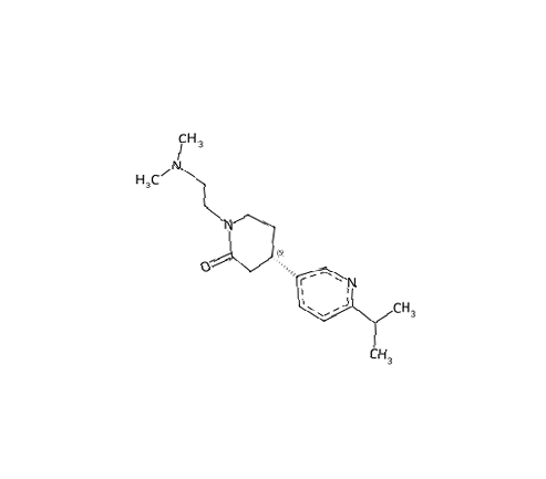 CC(C)c1ccc([C@H]2CCN(CCN(C)C)C(=O)C2)cn1